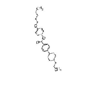 CCCCCOc1ccc(OC(=O)c2ccc(C3CCC(CCC)CC3)cc2)cc1